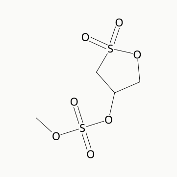 COS(=O)(=O)OC1COS(=O)(=O)C1